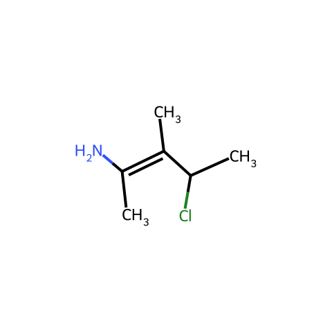 CC(N)=C(C)C(C)Cl